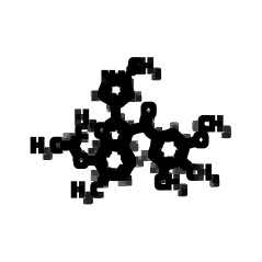 COc1cc(C(=O)c2c(-c3cnn(C)c3)oc3c(OC(C)C)c(C)ccc23)cc(C)c1C